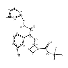 CC(C)(C)OC(=O)N1CC[C@H]1CN(C(=O)OCc1ccccc1)c1cncc(Br)c1